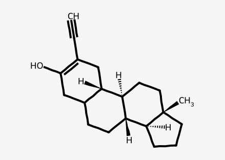 C#CC1=C(O)CC2CC[C@@H]3[C@H](CC[C@]4(C)CCC[C@@H]34)[C@H]2C1